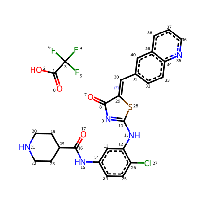 O=C(O)C(F)(F)F.O=C1N=C(Nc2cc(NC(=O)C3CCNCC3)ccc2Cl)S/C1=C\c1ccc2ncccc2c1